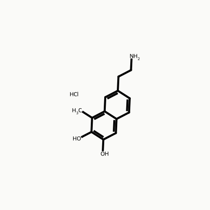 Cc1c(O)c(O)cc2ccc(CCN)cc12.Cl